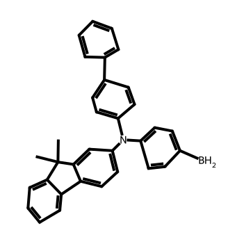 Bc1ccc(N(c2ccc(-c3ccccc3)cc2)c2ccc3c(c2)C(C)(C)c2ccccc2-3)cc1